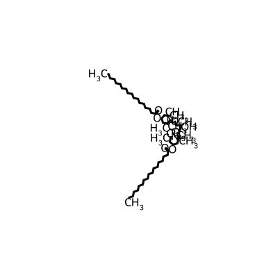 CCCCCCCCCCCCCCCCCC(=O)OC1CC(C)(C)N(OCC(C)(O)CON2C(C)(C)CC(OC(=O)CCCCCCCCCCCCCCCCC)CC2(C)C)C(C)(C)C1